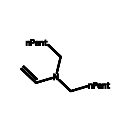 C=CN(CCCCCC)CCCCCC